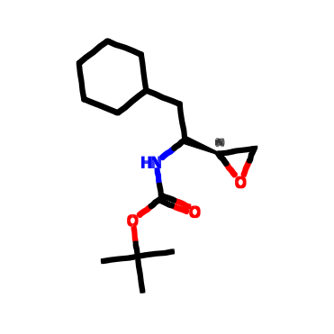 CC(C)(C)OC(=O)NC(CC1CCCCC1)[C@H]1CO1